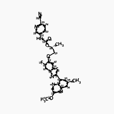 COc1cnc2c(-c3nc4cc(F)c(OC[C@@H](C)OC(=O)Nc5ccc(C#N)nc5)cc4s3)cc(C)cc2n1